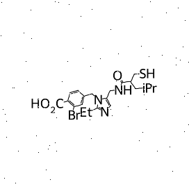 CCc1ncc(CNC(=O)C(CS)CC(C)C)n1Cc1ccc(C(=O)O)c(Br)c1